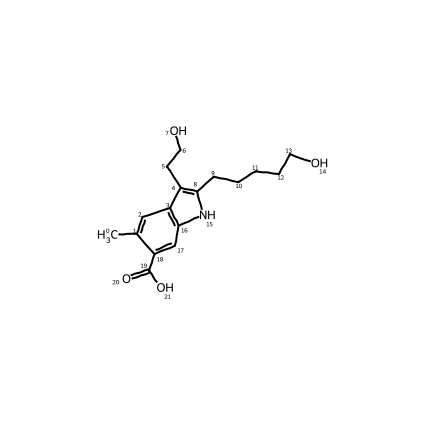 Cc1cc2c(CCO)c(CCCCCO)[nH]c2cc1C(=O)O